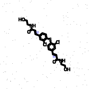 O=C(/C=C/c1ccc(Sc2ccc(/C=C/C(=O)NCCO)cc2Cl)c(Cl)c1)NCCO